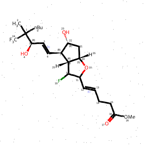 CCCCC(C)([C@H](O)/C=C/[C@@H]1[C@H]2C(F)C(/C=C/CCC(=O)OC)O[C@H]2C[C@H]1O)C(F)(F)F